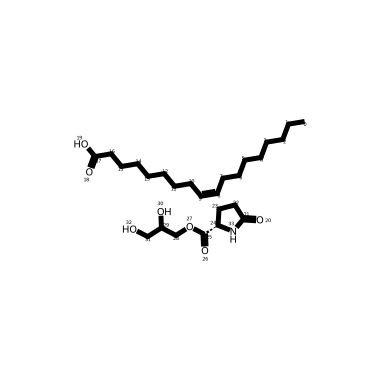 CCCCCCCC/C=C\CCCCCCCC(=O)O.O=C1CC[C@@H](C(=O)OCC(O)CO)N1